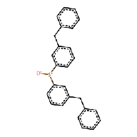 [O-][S+](c1cccc(Cc2ccccc2)c1)c1cccc(Cc2ccccc2)c1